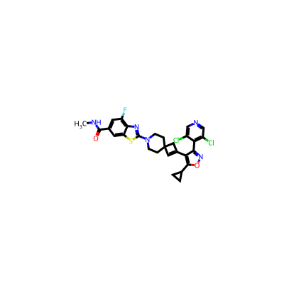 CNC(=O)c1cc(F)c2nc(N3CCC4(C=C(c5c(-c6c(Cl)cncc6Cl)noc5C5CC5)C4)CC3)sc2c1